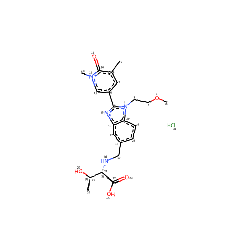 COCCn1c(-c2cc(C)c(=O)n(C)c2)nc2cc(CN[C@H](C(=O)O)[C@@H](C)O)ccc21.Cl